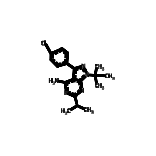 CC(C)c1nc(N)c2c(-c3ccc(Cl)cc3)nn(C(C)(C)C)c2n1